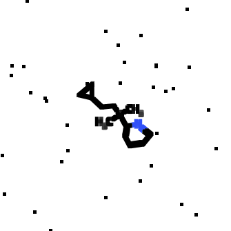 C[Si](C)(CCC1CC1)c1ccccn1